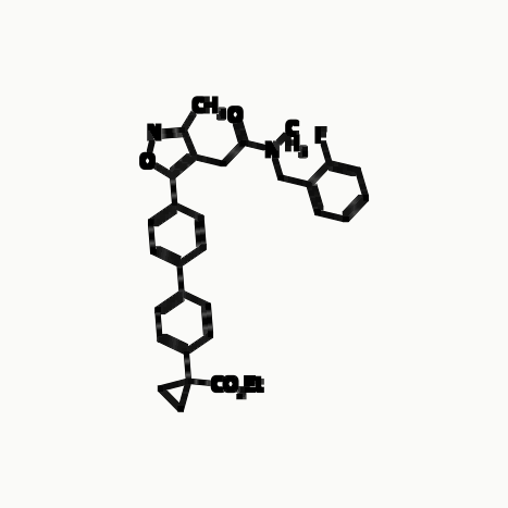 CCOC(=O)C1(c2ccc(-c3ccc(-c4onc(C)c4CC(=O)N(C)Cc4ccccc4F)cc3)cc2)CC1